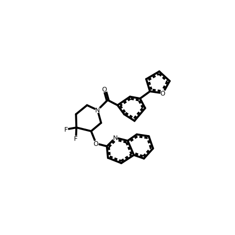 O=C(c1cccc(-c2ccco2)c1)N1CCC(F)(F)C(Oc2ccc3ccccc3n2)C1